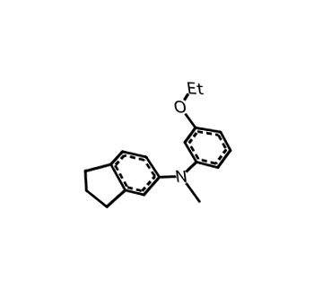 CCOc1cccc(N(C)c2ccc3c(c2)CCC3)c1